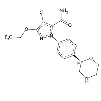 NC(=O)c1c(Cl)c(OCC(F)(F)F)nn1-c1ccc([C@@H]2CNCCO2)nc1